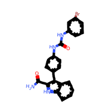 NC(=O)c1[nH]c2ccccc2c1-c1ccc(NC(=O)Nc2cccc(Br)c2)cc1